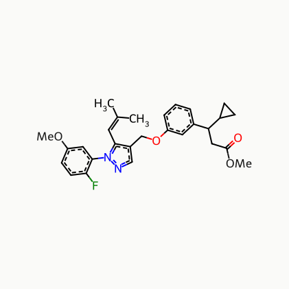 COC(=O)CC(c1cccc(OCc2cnn(-c3cc(OC)ccc3F)c2C=C(C)C)c1)C1CC1